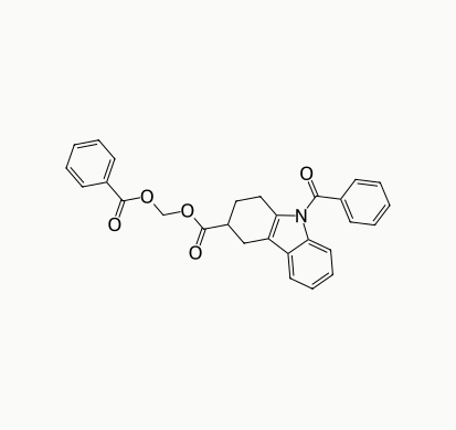 O=C(OCOC(=O)C1CCc2c(c3ccccc3n2C(=O)c2ccccc2)C1)c1ccccc1